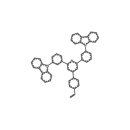 C=Cc1ccc(-c2cc(-c3cccc(-n4c5ccccc5c5ccccc54)c3)nc(-c3cccc(-n4c5ccccc5c5ccccc54)c3)c2)cc1